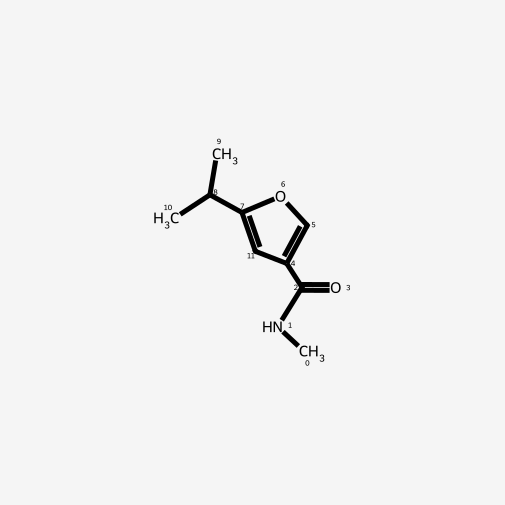 CNC(=O)c1coc(C(C)C)c1